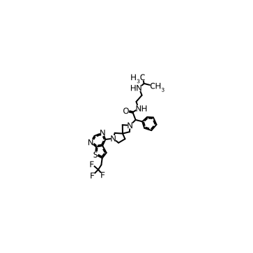 CC(C)NCCNC(=O)C(c1ccccc1)N1CC2(CCN(c3ncnc4sc(CC(F)(F)F)cc34)C2)C1